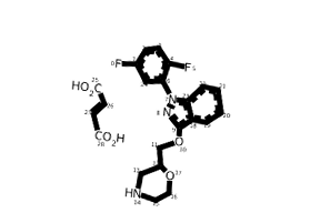 Fc1ccc(F)c(-n2nc(OCC3CNCCO3)c3ccccc32)c1.O=C(O)C=CC(=O)O